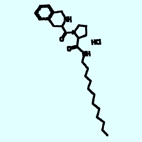 CCCCCCCCCCCCNC(=O)C1CCCN1C(=O)C1Cc2ccccc2CN1.Cl